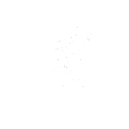 CC1(C)c2cc(N(c3ccccc3)c3ccc4c(ccc5ccccc54)c3)ccc2-c2cc3oc4ccccc4c3cc21